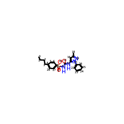 CCCCc1ccc(S(=O)(=O)NC(=O)Nc2cc(C)nn2-c2ccccc2)cc1